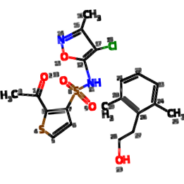 CC(=O)c1sccc1S(=O)(=O)Nc1onc(C)c1Cl.Cc1cccc(C)c1CCO